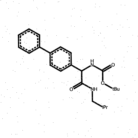 CC(C)CNC(=O)C(NC(=O)OC(C)(C)C)c1ccc(-c2ccccc2)cc1